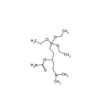 CCO[Si](CCC(CCN(C)C)OC(N)=O)(OCC)OCC